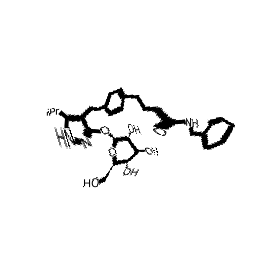 CC(C)c1[nH]nc(O[C@@H]2O[C@H](CO)[C@@H](O)[C@H](O)[C@H]2O)c1Cc1ccc(CCCC(=O)NCc2ccccc2)cc1